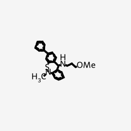 COCCCNC1c2ccc(-c3ccccc3)cc2SN(C)c2ccccc21